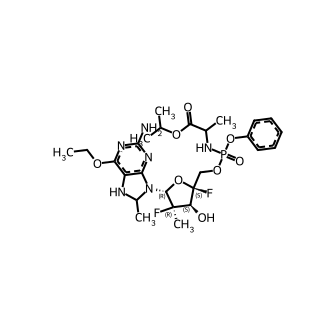 CCOc1nc(N)nc2c1NC(C)N2[C@@H]1O[C@](F)(COP(=O)(NC(C)C(=O)OC(C)C)Oc2ccccc2)[C@@H](O)[C@@]1(C)F